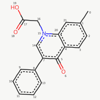 Cc1ccc2c(=O)c(-c3ccccc3)cn(CC(=O)O)c2c1